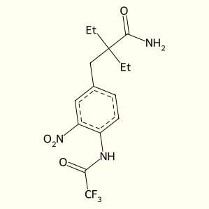 CCC(CC)(Cc1ccc(NC(=O)C(F)(F)F)c([N+](=O)[O-])c1)C(N)=O